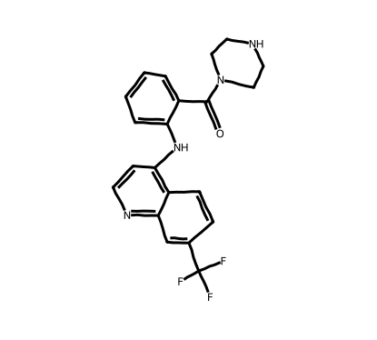 O=C(c1ccccc1Nc1ccnc2cc(C(F)(F)F)ccc12)N1CCNCC1